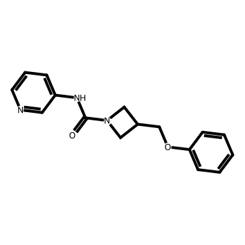 O=C(Nc1cccnc1)N1CC(COc2ccccc2)C1